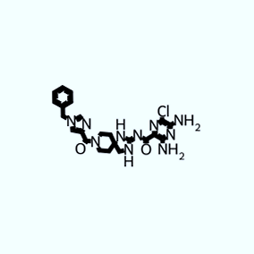 Nc1nc(N)c(C(=O)/N=C2\NCC3(CCN(C(=O)c4cn(Cc5ccccc5)cn4)CC3)N2)nc1Cl